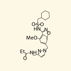 CCC(=O)NCc1ccn(Cc2cc(OC)c3c(NS(=O)(=O)CC4CCCCC4)noc3c2)n1